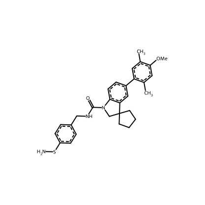 COc1cc(C)c(-c2ccc3c(c2)C2(CCCC2)CN3C(=O)NCc2ccc(SN)cc2)cc1C